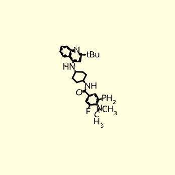 CN(C)c1c(F)cc(C(=O)NC2CCC(Nc3cc(C(C)(C)C)nc4ccccc34)CC2)cc1P